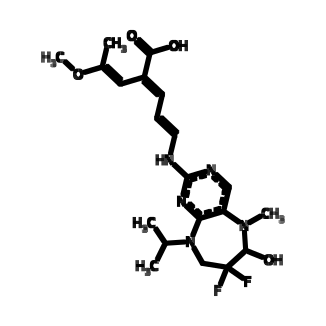 CO/C(C)=C/C(=C\C=C\Nc1ncc2c(n1)N(C(C)C)CC(F)(F)C(O)N2C)C(=O)O